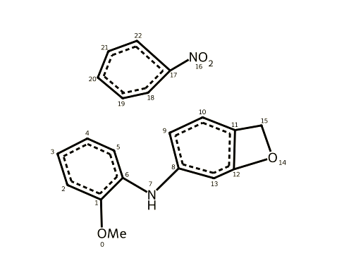 COc1ccccc1Nc1ccc2c(c1)OC2.O=[N+]([O-])c1ccccc1